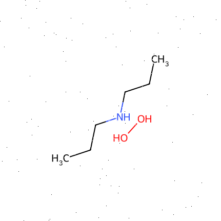 CCCNCCC.OO